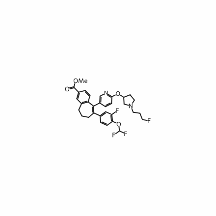 COC(=O)c1ccc2c(c1)CCCC(c1ccc(OC(F)F)c(F)c1)=C2c1ccc(OC2CCN(CCCF)C2)nc1